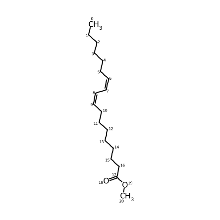 CCCCCC/C=C\C=C/CCCCCCCC(=O)OC